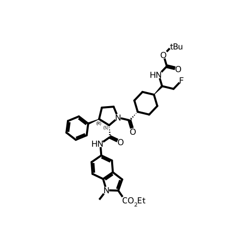 CCOC(=O)c1cc2cc(NC(=O)[C@@H]3[C@@H](c4ccccc4)CCN3C(=O)[C@H]3CC[C@H](C(CF)NC(=O)OC(C)(C)C)CC3)ccc2n1C